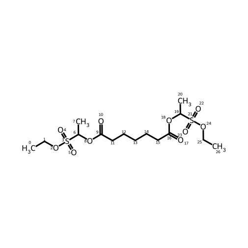 CCOS(=O)(=O)C(C)OC(=O)CCCCCC(=O)OC(C)S(=O)(=O)OCC